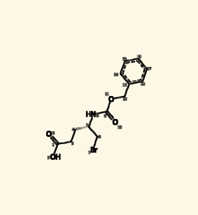 O=C(O)CC[C@@H](CBr)NC(=O)OCc1ccccc1